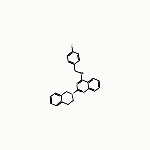 FC(F)(F)c1ccc(CNc2nc(N3CCc4ccccc4C3)nc3ccccc23)cc1